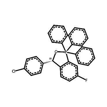 Fc1ccc2c(c1)P(c1ccccc1)(c1ccccc1)(c1ccccc1)O[C@H]2c1ccc(Cl)cc1